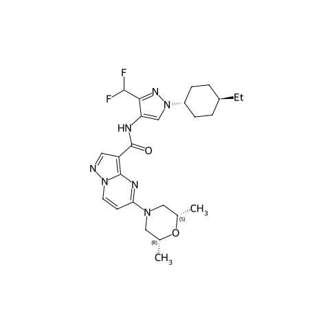 CC[C@H]1CC[C@H](n2cc(NC(=O)c3cnn4ccc(N5C[C@@H](C)O[C@@H](C)C5)nc34)c(C(F)F)n2)CC1